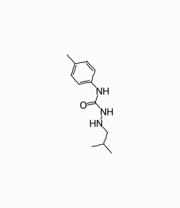 Cc1ccc(NC(=O)NNCC(C)C)cc1